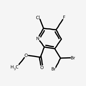 COC(=O)c1nc(Cl)c(F)cc1C(Br)Br